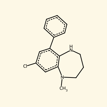 CN1CCCNc2c(-c3ccccc3)cc(Cl)cc21